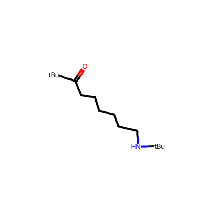 CC(C)(C)NCCCCCCC(=O)C(C)(C)C